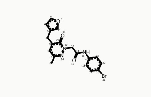 Cc1cc(Cc2ccoc2)c(=O)n(CC(=O)Nc2ccc(Br)cc2)n1